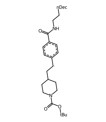 CCCCCCCCCCCCNC(=O)c1ccc([CH]CC2CCN(C(=O)OC(C)(C)C)CC2)cc1